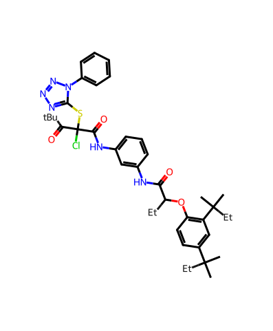 CCC(Oc1ccc(C(C)(C)CC)cc1C(C)(C)CC)C(=O)Nc1cccc(NC(=O)C(Cl)(Sc2nnnn2-c2ccccc2)C(=O)C(C)(C)C)c1